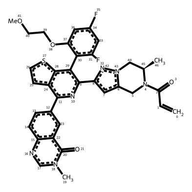 C=CC(=O)N1Cc2cc(-c3nc(-c4ccc5ncn(C)c(=O)c5c4)c4ccsc4c3-c3c(F)cc(F)cc3OCCOC)nn2C[C@H]1C